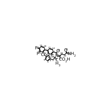 CC(C)(Cc1ccc(Cl)s1)N(C(=O)c1ccc(-c2ccc(F)c(F)c2)cc1)[C@@H](CCC(N)=O)C(=O)O